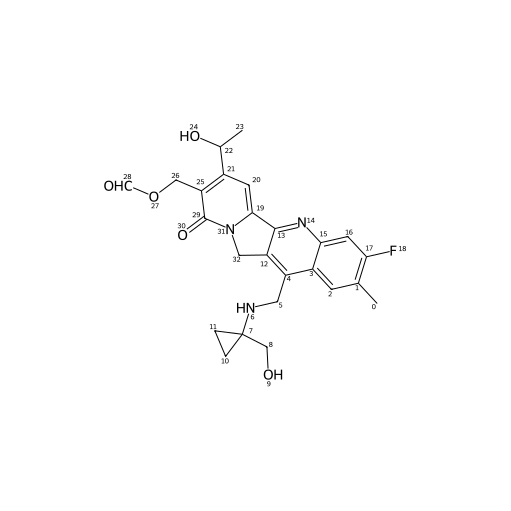 Cc1cc2c(CNC3(CO)CC3)c3c(nc2cc1F)-c1cc(C(C)O)c(COC=O)c(=O)n1C3